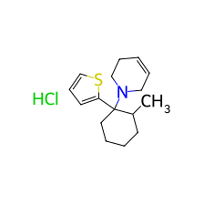 CC1CCCCC1(c1cccs1)N1CC=CCC1.Cl